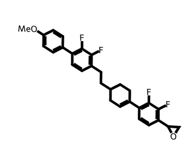 COc1ccc(-c2ccc(CCC3CC=C(c4ccc(C5CO5)c(F)c4F)CC3)c(F)c2F)cc1